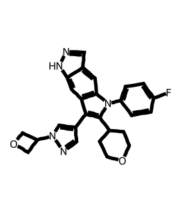 Fc1ccc(-n2c(C3CCOCC3)c(-c3cnn(C4COC4)c3)c3cc4[nH]ncc4cc32)cc1